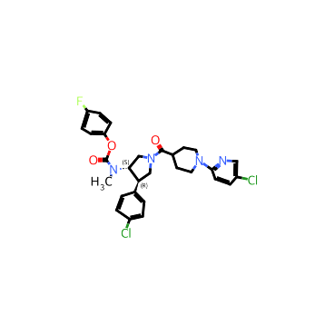 CN(C(=O)Oc1ccc(F)cc1)[C@@H]1CN(C(=O)C2CCN(c3ccc(Cl)cn3)CC2)C[C@H]1c1ccc(Cl)cc1